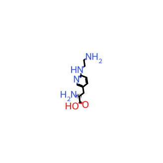 NCCNc1ccc(C[C@H](N)C(=O)O)cn1